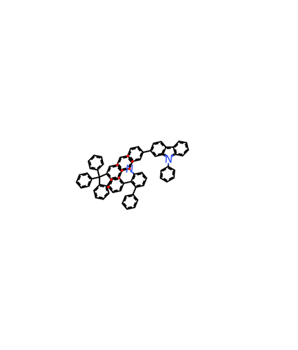 c1ccc(-c2ccccc2-c2c(-c3ccccc3)cccc2N(c2cccc(-c3ccc4c5ccccc5n(-c5ccccc5)c4c3)c2)c2ccc3c(c2)-c2ccccc2C3(c2ccccc2)c2ccccc2)cc1